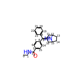 CCNC(=O)c1ccc(C(=C2CC3CCC(C2)N3)c2ccccc2)cc1